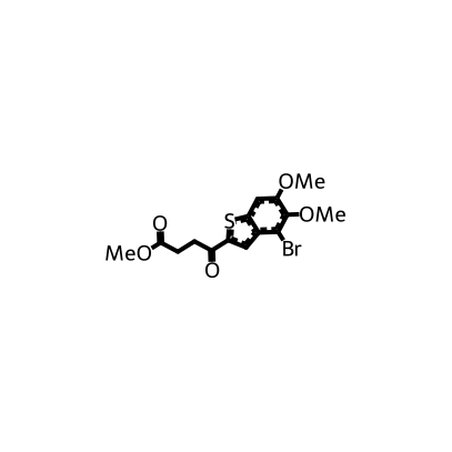 COC(=O)CCC(=O)c1cc2c(Br)c(OC)c(OC)cc2s1